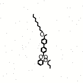 CCCCCCCCCOC(C)c1ccc(-c2ccc(C(=O)Oc3ccccc3OC(C)CCC)cc2)cc1